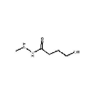 CNNC(=O)CCCO